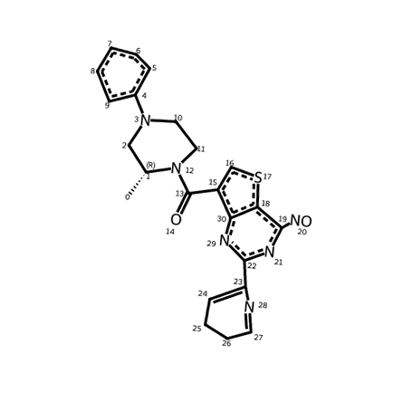 C[C@@H]1CN(c2ccccc2)CCN1C(=O)c1csc2c(N=O)nc(C3=CCCC=N3)nc12